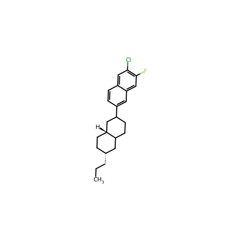 CCC[C@@H]1CC[C@@H]2CC(c3ccc4cc(Cl)c(F)cc4c3)CCC2C1